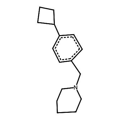 c1cc(C2CCC2)ccc1CN1CCCCC1